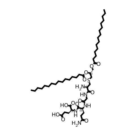 CCCCCCCCCCCCCCCC(=O)OC[C@H](CSC[C@H](N)C(=O)NCC(=O)N[C@@H](CCC(N)=O)C(=O)N[C@@H](CCC(=O)O)C(=O)O)OC(=O)CCCCCCCCCCCCCCC